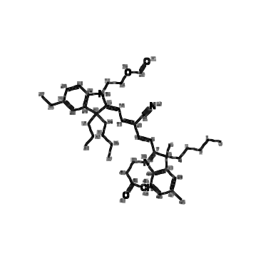 CCCCCC1(C)C(/C=C/C(C#N)=C/C=C2/N(CCOC=O)c3ccc(CC)cc3C2(CCC)CCCC)=[N+](CCC(=O)O)c2ccc(C)cc21